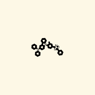 Cc1cc(-c2noc(-c3ccccc3)n2)ccc1-n1c2ccccc2c2cc(N(c3ccccc3)c3ccccc3)ccc21